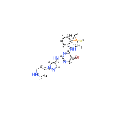 CP(C)(=S)c1ccccc1Nc1nc(Nc2cnn(C3CCNCC3)c2)ncc1Br